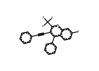 Fc1ccc2c(-c3ccccc3)c(C#Cc3ccccc3)c(C(F)(F)F)nc2c1